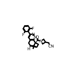 CC12C3C[C@@]1(C(=O)N1CC(CC#N)C1)c1nnc(-c4c(F)cccc4F)cc1C[C@@H]32